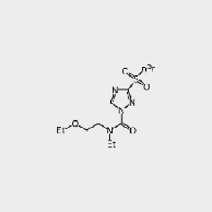 CCCS(=O)(=O)c1ncn(C(=O)N(CC)CCOCC)n1